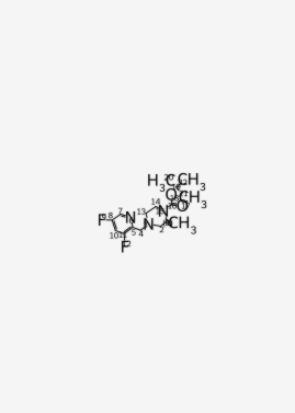 C[C@@H]1CN(Cc2ncc(F)cc2F)CCN1C(=O)OC(C)(C)C